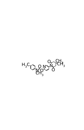 Cc1ccc(N(C)C(=O)Oc2ccc(N3C(=O)CC(C)(C)CC3=O)cn2)cc1